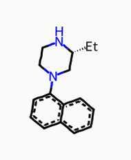 CC[C@@H]1CN(c2cccc3ccccc23)CCN1